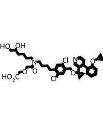 O=C(O)COCC(=O)N(CCCCc1cc(Cl)c(COC2(c3cnccc3-c3ccccc3OC3CC3)CC2)cc1Cl)CCCCC(O)CO